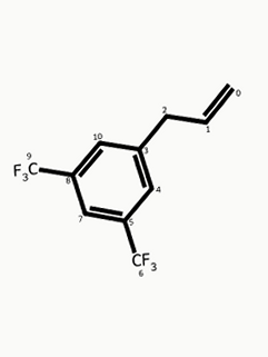 C=CCc1cc(C(F)(F)F)cc(C(F)(F)F)c1